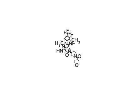 Cc1nc(N[C@H](C)c2cccc(C(F)(F)F)c2F)c2c(n1)C1(CCNC1)C(=O)N(C1CCN(C(=O)C3CCOCC3)CC1)C2